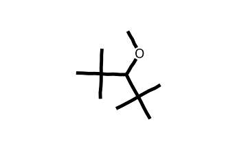 COC(C(C)(C)C)C(C)(C)C